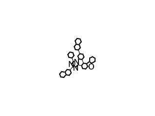 c1ccc(-c2nc(-c3ccc4ccccc4c3)nc(-c3ccc4oc5ccccc5c4c3-c3ccc(-c4ccc5ccccc5c4)cc3)n2)cc1